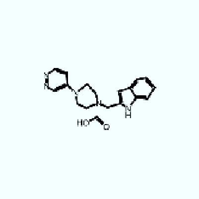 O=CO.c1ccc2[nH]c(CN3CCN(c4ccnnc4)CC3)cc2c1